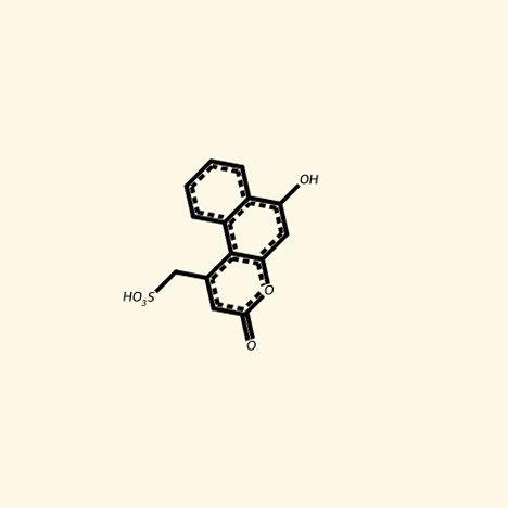 O=c1cc(CS(=O)(=O)O)c2c(cc(O)c3ccccc32)o1